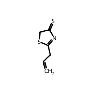 C=CCC1=NC(=S)CS1